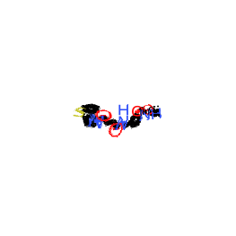 CSc1ccccc1[C@H]1CCCN1C(=O)CCC(=O)NCc1ccc2c(c1)OC[C@@H](O[Si](C)(C)C(C)(C)C)N2